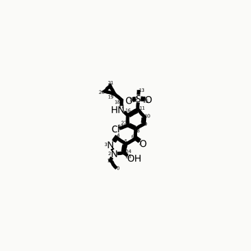 CCn1ncc(C(=O)c2ccc(S(C)(=O)=O)c(NCC3CC3)c2Cl)c1O